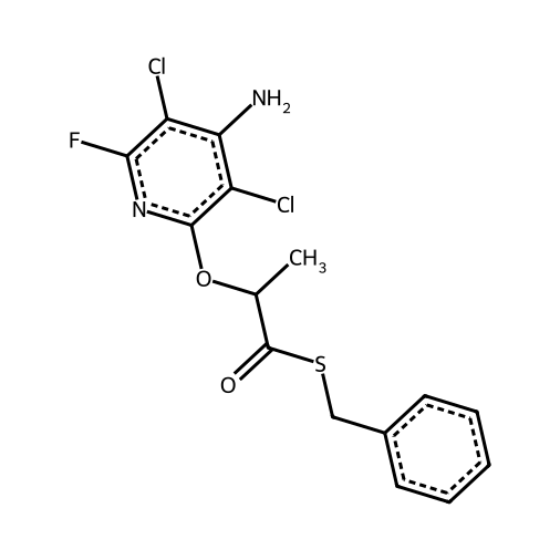 CC(Oc1nc(F)c(Cl)c(N)c1Cl)C(=O)SCc1ccccc1